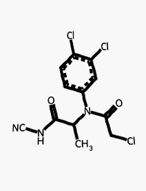 CC(C(=O)NC#N)N(C(=O)CCl)c1ccc(Cl)c(Cl)c1